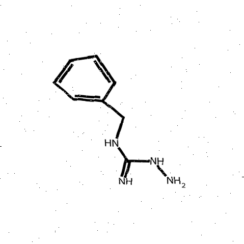 N=C(NN)NCc1ccccc1